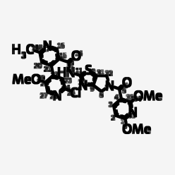 COc1ccc(C(=O)N2Cc3nc(NC(=O)c4cnc(C)cc4-c4cc(Cl)ncc4OC)sc3C2)c(OC)n1